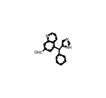 O=Cc1cc(C(c2ccccc2)c2cnc[nH]2)c2cccnc2c1